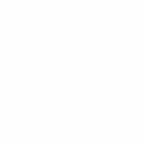 COc1ccc([SH](=O)(O)O)cc1.[NaH]